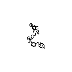 COc1cc(C)c(SN(C)CCOCC(=O)N(C)C2CCC[C@H](CN3CCN(C)CC3)C2)c(C)c1